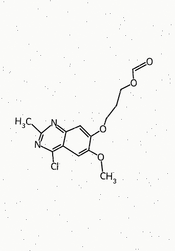 COc1cc2c(Cl)nc(C)nc2cc1OCCCOC=O